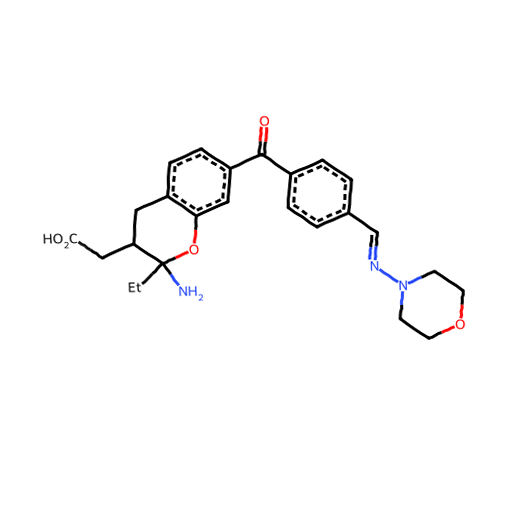 CCC1(N)Oc2cc(C(=O)c3ccc(C=NN4CCOCC4)cc3)ccc2CC1CC(=O)O